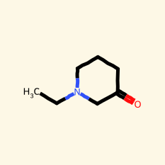 CCN1CCCC(=O)C1